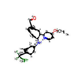 COc1ccnc(-c2cc(C=O)ccc2Nc2ccc(C(F)(F)F)cc2)c1